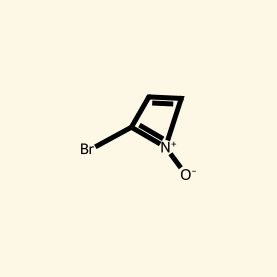 [O-][N+]1=C(Br)C=C1